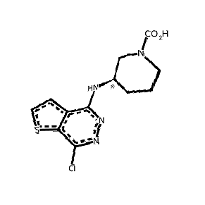 O=C(O)N1CCC[C@@H](Nc2nnc(Cl)c3sccc23)C1